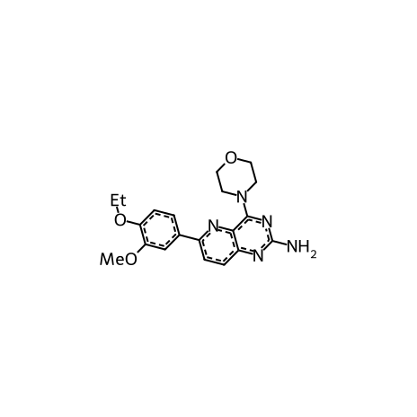 CCOc1ccc(-c2ccc3nc(N)nc(N4CCOCC4)c3n2)cc1OC